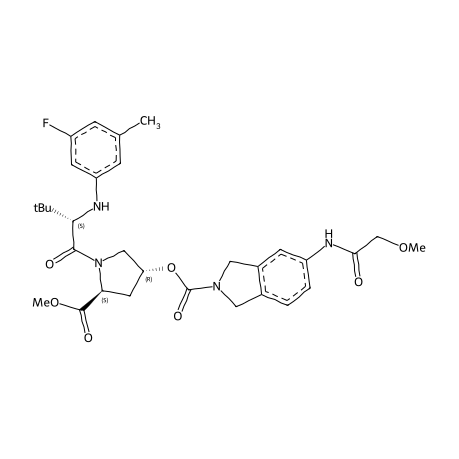 COCC(=O)Nc1ccc2c(c1)CN(C(=O)O[C@@H]1C[C@@H](C(=O)OC)N(C(=O)[C@@H](Nc3cc(C)cc(F)c3)C(C)(C)C)C1)C2